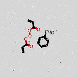 C=CC(=O)OOOC(=O)C=C.O=Cc1ccccc1